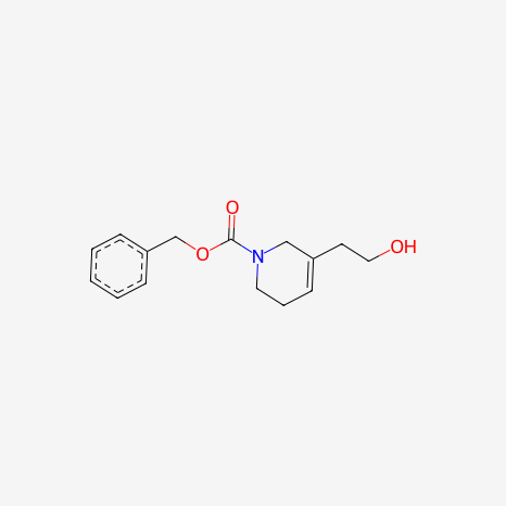 O=C(OCc1ccccc1)N1CCC=C(CCO)C1